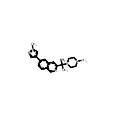 BC(C)(c1cc2cc(-c3cnn(C)c3)ccc2cn1)N1CCN(C)CC1